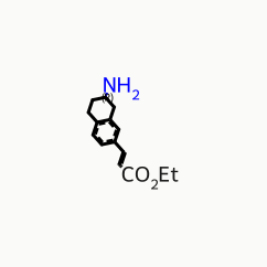 CCOC(=O)C=Cc1ccc2c(c1)C[C@H](N)CC2